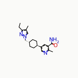 CCc1nn(C[C@H]2CC[C@H](c3cnc(C)c(C(N)=O)c3)CC2)cc1C